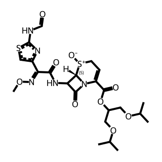 CON=C(C(=O)NC1C(=O)N2C(C(=O)OC(COC(C)C)COC(C)C)=CC[S+]([O-])[C@@H]12)c1csc(NC=O)n1